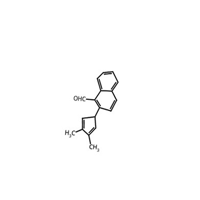 CC1=CC(c2ccc3ccccc3c2C=O)C=C1C